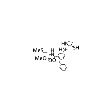 COC(=O)[C@H](CCSC)NC(=O)c1cc(NC[C@@H]2NCC[C@H]2S)ccc1Cc1ccccc1